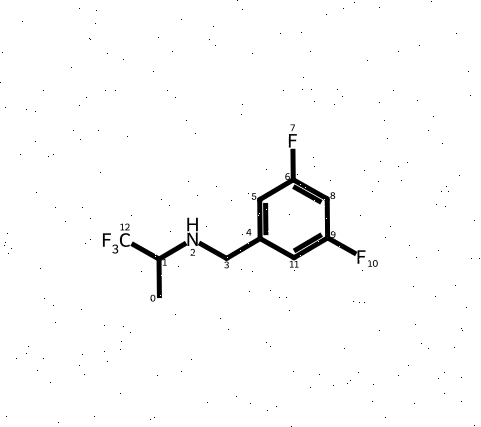 CC(NCc1cc(F)cc(F)c1)C(F)(F)F